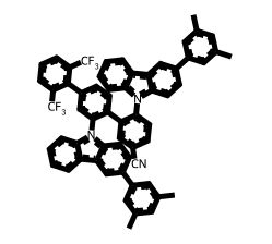 Cc1cc(C)cc(-c2ccc3c(c2)c2ccccc2n3-c2ccc(C#N)cc2-c2ccc(-c3c(C(F)(F)F)cccc3C(F)(F)F)cc2-n2c3ccccc3c3cc(-c4cc(C)cc(C)c4)ccc32)c1